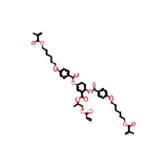 C=CC(=O)OCC(C)OC(=O)c1cc(OC(=O)c2ccc(OCCCCCCOC(=O)C(=C)C)cc2)ccc1OC(=O)c1ccc(OCCCCCCOC(=O)C(=C)C)cc1